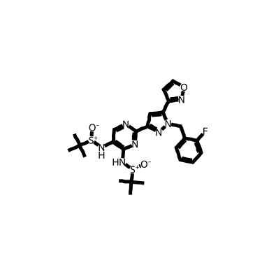 CC(C)(C)[S+]([O-])Nc1cnc(-c2cc(-c3ccon3)n(Cc3ccccc3F)n2)nc1N[S+]([O-])C(C)(C)C